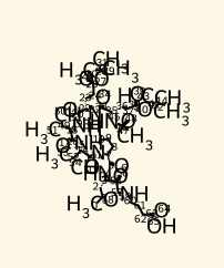 CCC[C@H](NC(=O)[C@@H]1CCCN1C(=O)[C@@H](NC(=O)[C@@H](NC(=O)[C@H](CCC(=O)OC(C)(C)C)NC(=O)[C@H](CCC(=O)OC(C)(C)C)NC(C)=O)C(C)C)C(C)C)C(=O)C(=O)NCCCC(=O)O